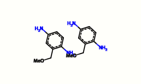 COCc1cc(N)ccc1N.COCc1cc(N)ccc1N